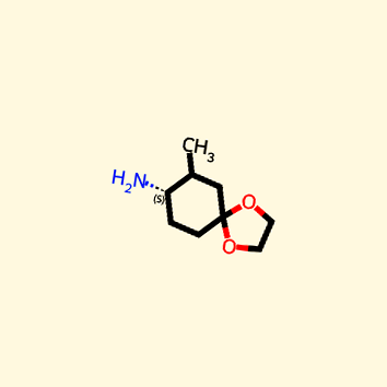 CC1CC2(CC[C@@H]1N)OCCO2